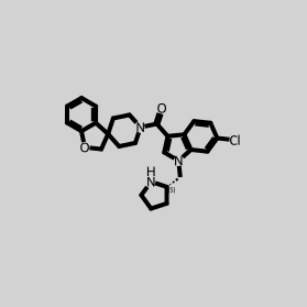 O=C(c1cn(C[C@@H]2CCCN2)c2cc(Cl)ccc12)N1CCC2(CC1)COc1ccccc12